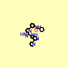 O=C(Nc1cccc(-c2ccc3[nH]nc(-c4cc5c(-c6ccccn6)cncc5[nH]4)c3n2)c1)C1CCCCC1